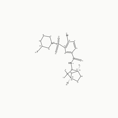 CC1(C)C(NC(=O)c2ccc(Br)c(S(=O)(=O)N3CCCC(F)C3)c2)[C@@]2(C)CC[C@@H]1C2